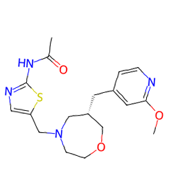 COc1cc(C[C@@H]2COCCN(Cc3cnc(NC(C)=O)s3)C2)ccn1